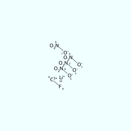 O=[N+]([O-])[O-].O=[N+]([O-])[O-].O=[N+]([O-])[O-].O=[N+]([O-])[O-].[C+3]F.[Li+]